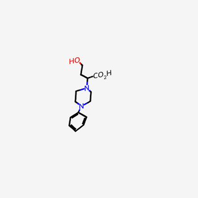 O=C(O)C(CCO)N1CCN(c2ccccc2)CC1